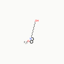 OCCCCCCCCCCCc1ccc2cccc(OC(F)(F)F)c2n1